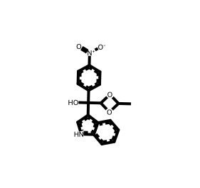 CC1OC(C(O)(c2ccc([N+](=O)[O-])cc2)c2c[nH]c3ccccc23)O1